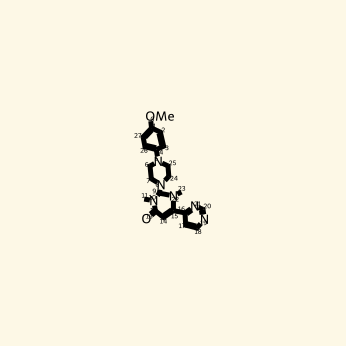 COc1ccc(N2CCN(C3N(C)C(=O)C=C(c4ccncn4)N3C)CC2)cc1